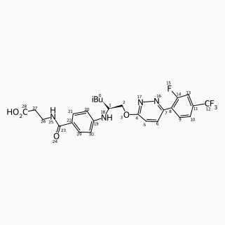 CC[C@H](C)[C@@H](COc1ccc(-c2ccc(C(F)(F)F)cc2F)nn1)Nc1ccc(C(=O)NCCC(=O)O)cc1